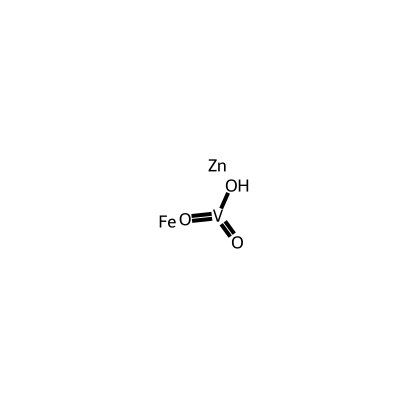 [Fe].[O]=[V](=[O])[OH].[Zn]